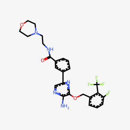 Nc1ncc(-c2cccc(C(=O)NCCN3CCOCC3)c2)nc1OCc1cccc(F)c1C(F)(F)F